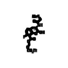 CCOC(=O)OCOC(=O)c1c(F)ccc2c1OB(O)[C@@H](NC(=O)CSC)C2